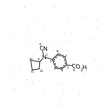 N#CN(c1ccc(C(=O)O)cc1)C1CCC1